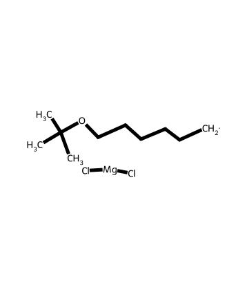 [CH2]CCCCCOC(C)(C)C.[Cl][Mg][Cl]